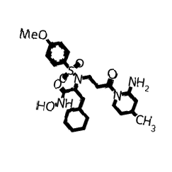 COc1ccc(S(=O)(=O)N(CCC(=O)N2CCC(C)CC2N)C(CC2CCCCC2)C(=O)NO)cc1